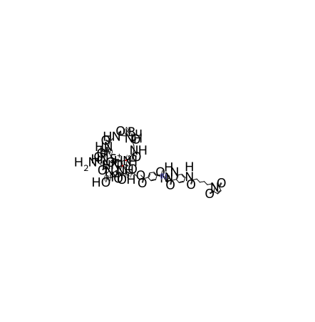 CC[C@@H](C)C1NC(=O)CNC(=O)[C@@H]2Cc3c([nH]c4cc(O)ccc34)[S+]([O-])C[C@@H](NC(=O)CNC1=O)C(=O)N[C@@H](CC(N)=O)C(=O)N1C[C@H](O)C[C@H]1C(=O)NC([C@H](C)CCOC(=O)c1ccc(/C(C)=N/NC(=O)c3ccc(NC(=O)CCCCCN4C(=O)C=CC4=O)cc3[N+](=O)[O-])cc1)C(=O)N2